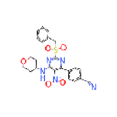 N#Cc1ccc(-c2nc(S(=O)(=O)Cc3ccccc3)nc(NC3CCOCC3)c2[N+](=O)[O-])cc1